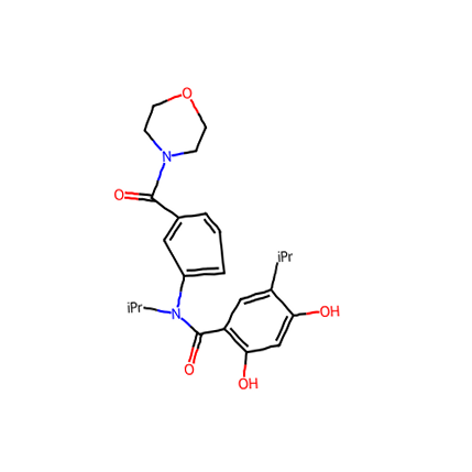 CC(C)c1cc(C(=O)N(c2cccc(C(=O)N3CCOCC3)c2)C(C)C)c(O)cc1O